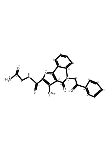 COc1c(C(=O)NCC(N)=O)sc2c1c(=O)n(CC(=O)c1ccccc1)c1ccccc21